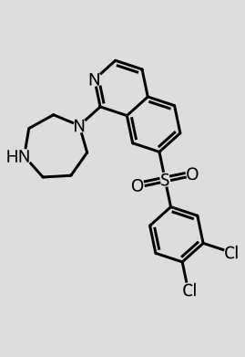 O=S(=O)(c1ccc(Cl)c(Cl)c1)c1ccc2ccnc(N3CCCNCC3)c2c1